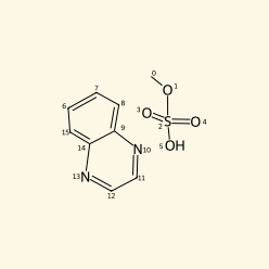 COS(=O)(=O)O.c1ccc2nccnc2c1